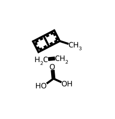 C=C.Cc1cc2ccc1-2.O=C(O)O